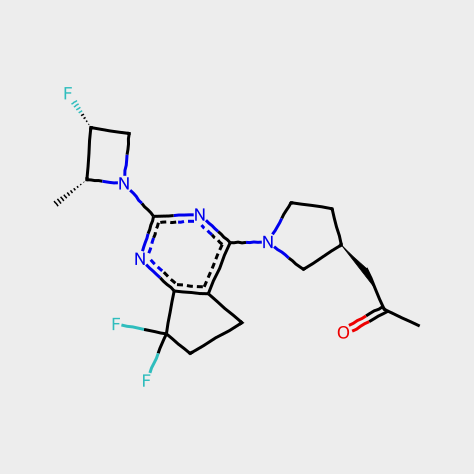 CC(=O)C[C@@H]1CCN(c2nc(N3C[C@@H](F)[C@H]3C)nc3c2CCC3(F)F)C1